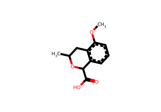 COc1cccc2c1CC(C)OC2C(=O)O